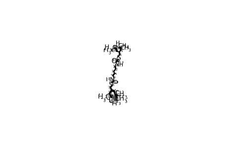 CC1(C)CC(CCOC(=O)NCCCCCCNC(=O)OCCC2CC(C)(C)NC(C)(C)C2)CC(C)(C)N1